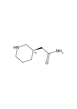 NC(=O)C[C@H]1CCCNC1